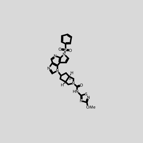 COc1nsc(NC(=O)N2C[C@H]3CC(n4cnc5cnc6c(ccn6S(=O)(=O)c6ccccc6)c54)C[C@H]3C2)n1